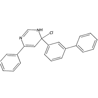 ClC1(c2cccc(-c3ccccc3)c2)C=C(c2ccccc2)N=CN1